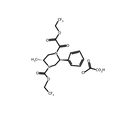 C[C@@H]1CN(C(=O)C(=O)OCC(F)(F)F)[C@@H](c2ccccc2)CN1C(=O)OCC(F)(F)F.O=C(O)C(=O)Cl